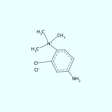 C[N+](C)(C)c1ccc(N)cc1Cl.[Cl-]